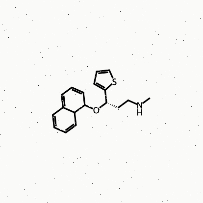 CNCC[C@H](OC1C=CC=C2C=CC=CC21)c1cccs1